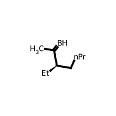 B=C(C)[C@H](CC)CCCC